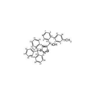 Cc1ccc(-c2ccccc2C(O)c2nnn(C(c3ccccc3)(c3ccccc3)c3ccccc3)n2)cc1